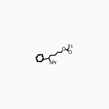 CCCC(CCCCOC(=O)CC)c1ccccc1